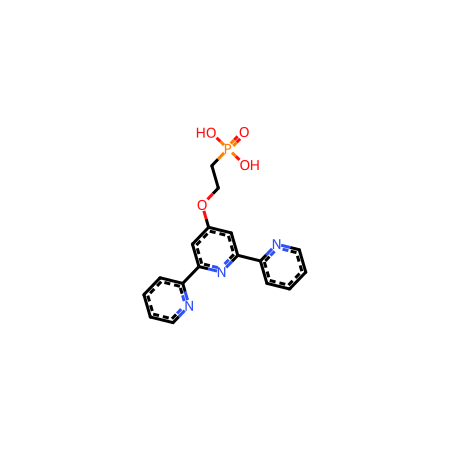 O=P(O)(O)CCOc1cc(-c2ccccn2)nc(-c2ccccn2)c1